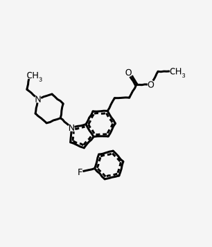 CCOC(=O)CCc1ccc2ccn(C3CCN(CC)CC3)c2c1.Fc1ccccc1